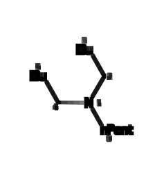 CCCCCN(CC(C)CC)CC(C)CC